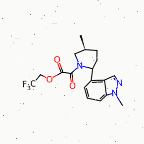 C[C@H]1CCC(c2cccc3c2cnn3C)N(C(=O)C(=O)OCC(F)(F)F)C1